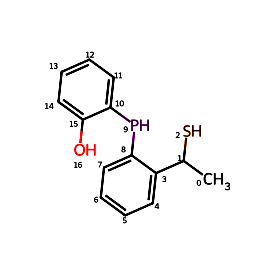 CC(S)c1ccccc1Pc1ccccc1O